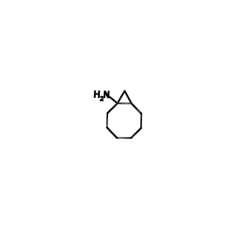 NC12CCCCCCC1C2